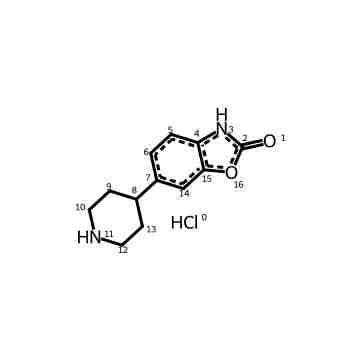 Cl.O=c1[nH]c2ccc(C3CCNCC3)cc2o1